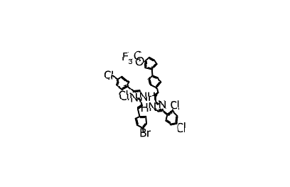 Clc1ccc(-c2c[nH]c(C=Cc3ccc(Br)cc3)n2)c(Cl)c1.FC(F)(F)Oc1cccc(-c2ccc(C=Cc3nc(-c4ccc(Cl)cc4Cl)c[nH]3)cc2)c1